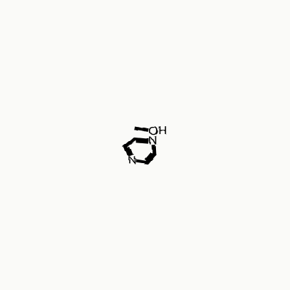 CO.c1cnccn1